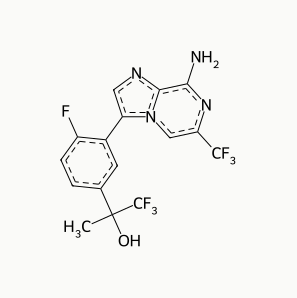 CC(O)(c1ccc(F)c(-c2cnc3c(N)nc(C(F)(F)F)cn23)c1)C(F)(F)F